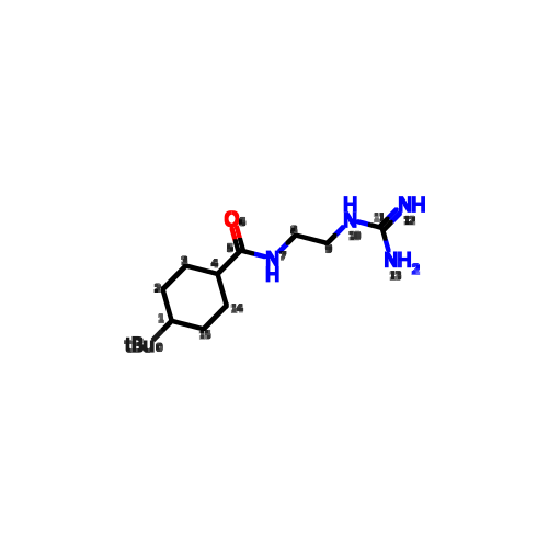 CC(C)(C)C1CCC(C(=O)NCCNC(=N)N)CC1